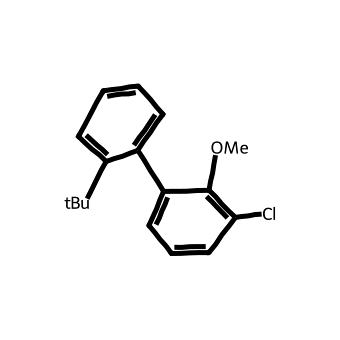 COc1c(Cl)cccc1-c1ccccc1C(C)(C)C